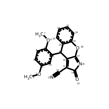 COc1ccc(OC)c(C2C3=C(C#N)C(=O)N=C3Oc3ccccc32)c1